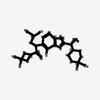 NC(c1nc2c(F)c(C(CC(F)F)C(=O)N3CC(F)(F)C3)ccc2[nH]1)C1CCC(F)(F)CC1